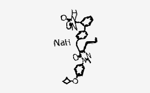 CCCc1nc(C)n(-c2ccc(OC3CCC3)cc2)c(=O)c1Cc1ccc(-c2ccccc2-c2noc(=O)[nH]2)cc1.[NaH]